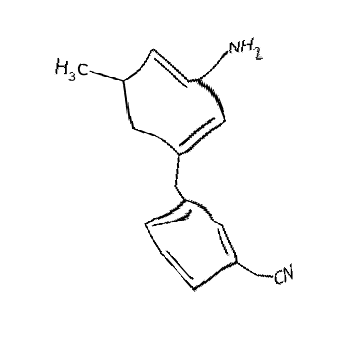 CC1C=C(N)C=C(c2cccc(C#N)c2)C1